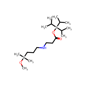 CO[Si](C)(C)CCCNCCC(=O)O[Si](C(C)C)(C(C)C)C(C)C